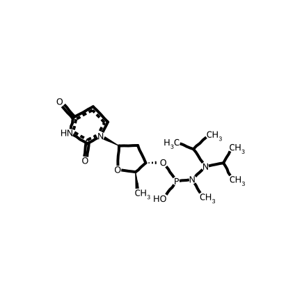 CC(C)N(C(C)C)N(C)P(O)O[C@H]1C[C@H](n2ccc(=O)[nH]c2=O)O[C@@H]1C